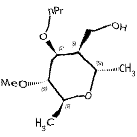 CCCO[C@H]1[C@@H](CO)[C@H](C)O[C@@H](C)[C@@H]1OC